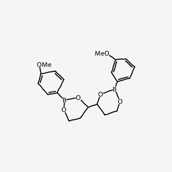 COc1ccc(B2OCCC(C3CCOB(c4cccc(OC)c4)O3)O2)cc1